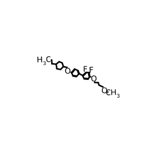 CCCC1CCC(COc2ccc(-c3ccc(OCCCCOC)c(F)c3F)cc2)CC1